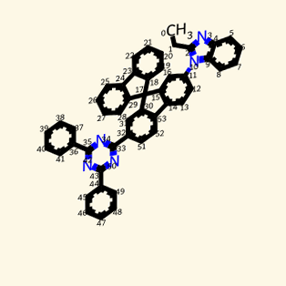 CCc1nc2ccccc2n1-c1ccc2c(c1)C1(c3ccccc3-c3ccccc31)c1cc(-c3nc(-c4ccccc4)nc(-c4ccccc4)n3)ccc1-2